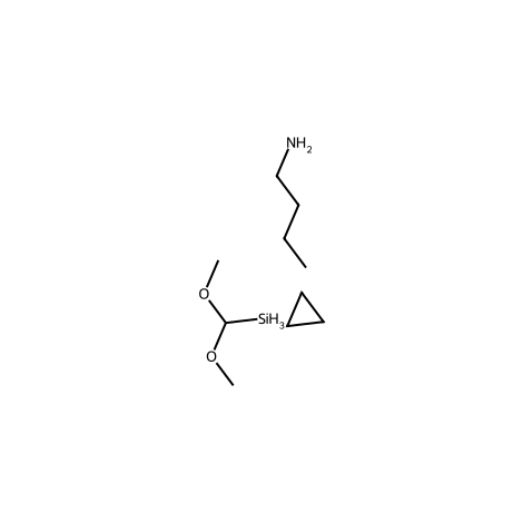 C1CC1.CCCCN.COC([SiH3])OC